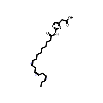 CC/C=C\C/C=C\C/C=C\CCCCCCCC(=O)Nc1nc(CC(=O)O)cs1